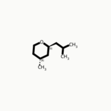 CC(C)C[C@H]1C[C@H](C)CCO1